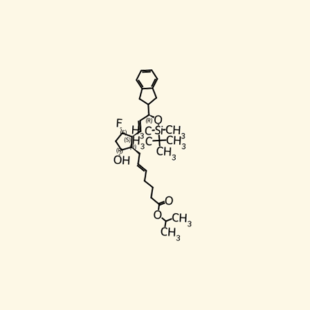 CC(C)OC(=O)CCCC=CC[C@@H]1[C@H](C=C[C@H](O[Si](C)(C)C(C)(C)C)C2Cc3ccccc3C2)[C@@H](F)C[C@H]1O